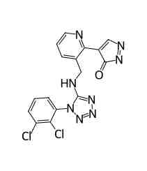 O=C1N=NC=C1c1ncccc1CNc1nnnn1-c1cccc(Cl)c1Cl